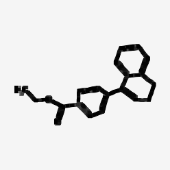 CCOC(=O)c1ccc(C2=CCCc3ccccc32)cc1